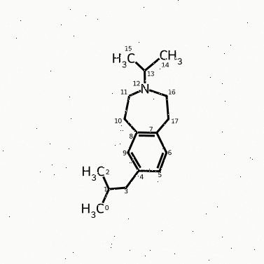 CC(C)Cc1ccc2c(c1)CCN(C(C)C)CC2